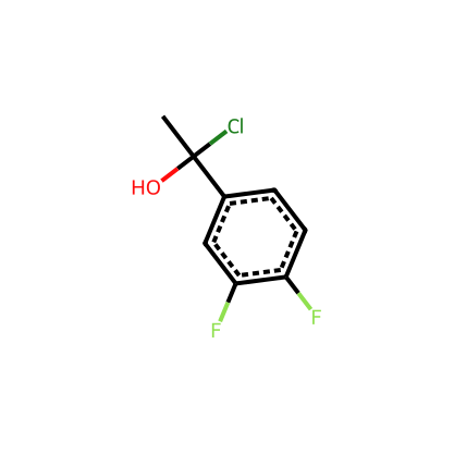 CC(O)(Cl)c1ccc(F)c(F)c1